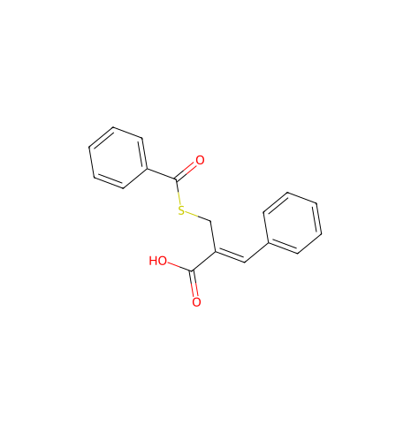 O=C(O)C(=Cc1ccccc1)CSC(=O)c1ccccc1